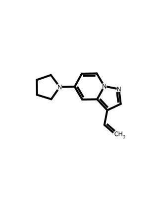 C=Cc1cnn2ccc(N3CCCC3)cc12